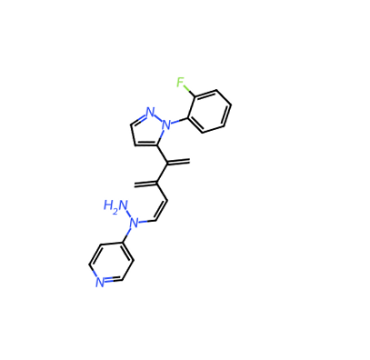 C=C(/C=C\N(N)c1ccncc1)C(=C)c1ccnn1-c1ccccc1F